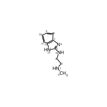 CNCCNc1nc2[c]cccc2[nH]1